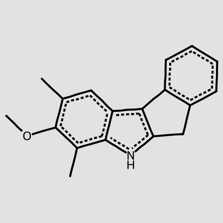 COc1c(C)cc2c3c([nH]c2c1C)Cc1ccccc1-3